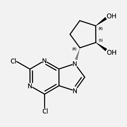 O[C@@H]1[C@H](O)CC[C@H]1n1cnc2c(Cl)nc(Cl)nc21